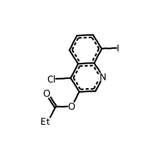 CCC(=O)Oc1cnc2c(I)cccc2c1Cl